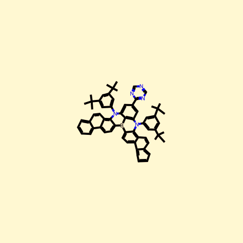 CC(C)(C)c1cc(N2c3cc(-c4ncncn4)cc4c3B(c3ccc5c(ccc6ccccc65)c32)c2ccc3c(ccc5ccccc53)c2N4c2cc(C(C)(C)C)cc(C(C)(C)C)c2)cc(C(C)(C)C)c1